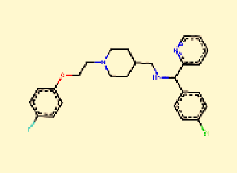 Fc1ccc(OCCN2CCC(CNC(c3ccc(Cl)cc3)c3ccccn3)CC2)cc1